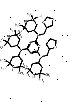 CC1(C)CC(N(CC2CCCO2)c2nc(N(CC3CCCO3)C3CC(C)(C)NC(C)(C)C3)nc(N(C3CC(C)(C)NC(C)(C)C3)C3CC(C)(C)NC(C)(C)C3)n2)CC(C)(C)N1